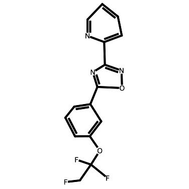 FCC(F)(F)Oc1cccc(-c2nc(-c3ccccn3)no2)c1